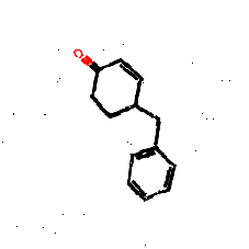 O=C1C=CC(Cc2ccccc2)CC1